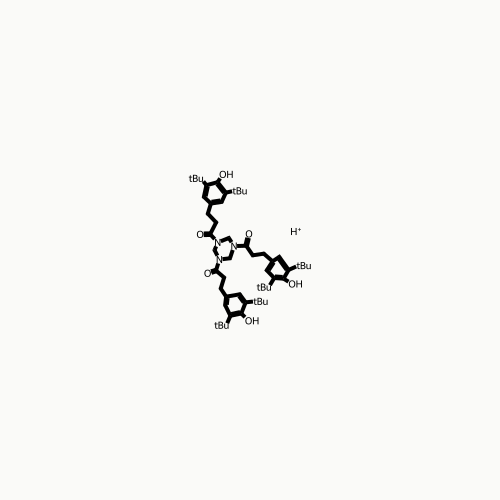 CC(C)(C)c1cc(CCC(=O)N2CN(C(=O)CCc3cc(C(C)(C)C)c(O)c(C(C)(C)C)c3)CN(C(=O)CCc3cc(C(C)(C)C)c(O)c(C(C)(C)C)c3)C2)cc(C(C)(C)C)c1O.[H+]